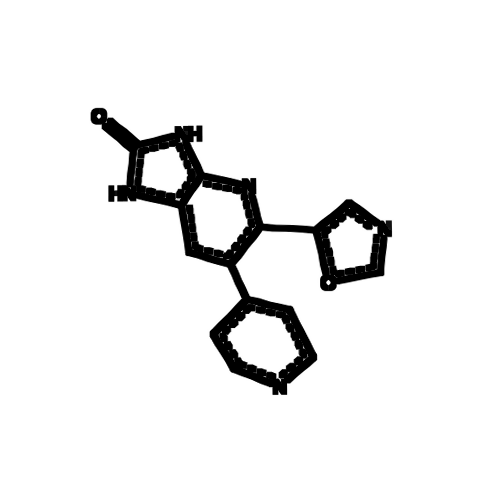 O=c1[nH]c2cc(-c3ccncc3)c(-c3cnco3)nc2[nH]1